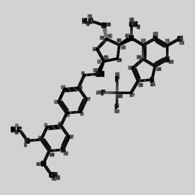 COc1cc(-c2ccc(CN[C@H]3C[C@H](OC)[C@@H](N(C)c4nc(Cl)nc5sc(CC(F)(F)F)cc45)C3)cc2)cnc1OC